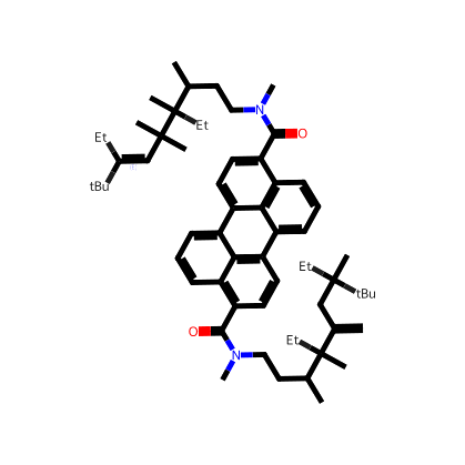 C=C(CC(C)(CC)C(C)(C)C)C(C)(CC)C(C)CCN(C)C(=O)c1ccc2c3cccc4c(C(=O)N(C)CCC(C)C(C)(CC)C(C)(C)/C=C(\CC)C(C)(C)C)ccc(c5cccc1c25)c43